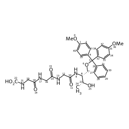 COc1ccc(C(OC[C@@H](NC(=O)CNC(=O)CNC(=O)CNC(=O)O)[C@@H](C)O)(c2ccccc2)c2ccc(OC)cc2)cc1